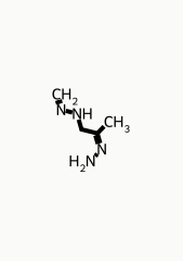 C=NNC/C(C)=N\N